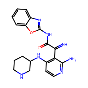 N=C(C(=O)Nc1nc2ccccc2o1)c1c(NC2CCCNC2)ccnc1N